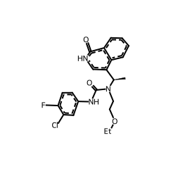 CCOCCN(C(=O)Nc1ccc(F)c(Cl)c1)[C@H](C)c1c[nH]c(=O)c2ccccc12